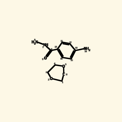 C1COCCO1.NNC(=O)c1ccc(N)cc1